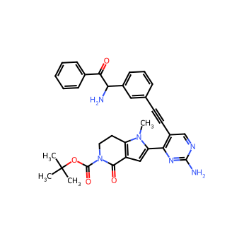 Cn1c(-c2nc(N)ncc2C#Cc2cccc(C(N)C(=O)c3ccccc3)c2)cc2c1CCN(C(=O)OC(C)(C)C)C2=O